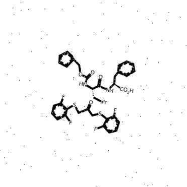 CC(C)C[C@H](NC(=O)OCc1ccccc1)C(=O)N[C@@H](Cc1ccccc1)C(=O)O.O=C(CSc1c(F)cccc1F)CSc1c(F)cccc1F